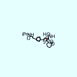 CC(C)NC(=O)/C=C/c1ccc(-c2ccc([C@@]3(CC(=O)NO)CCCCS3(=O)=O)s2)cc1